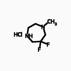 CN1CCNCC(F)(F)C1.Cl